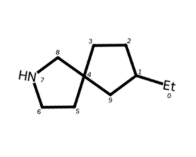 CCC1CCC2(CCNC2)C1